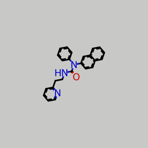 O=C(NCCc1ccccn1)N(c1ccccc1)c1ccc2ccccc2c1